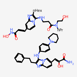 CCCCCCc1nc2cc(C=CC(=O)NO)ccn2c1NCCC(=O)N(CCC)CCO.NC(=O)C(O)=Cc1ccc2nc(CCc3ccccc3)c(Nc3ccc(N4CCCCC4)cc3)n2c1